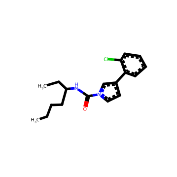 CCCCC(CC)NC(=O)n1ccc(-c2ccccc2Cl)c1